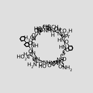 CC(C)C1NC(=O)[C@H](Cc2ccccc2)NC(=O)CSC[C@@H](C(=O)NCC(N)=O)NC(=O)[C@@H]2CCCN2C(=O)[C@H](CO)NC(=O)[C@H](CC(N)=O)NC(=O)[C@H](CCC(=O)O)N(C)C(=O)[C@H](Cc2ccc(-c3ccccc3)cc2)NC(=O)CN(C)C(=O)[C@H](CO)NC(=O)[C@H]([C@@H](C)O)NC(=O)[C@H]([C@@H](C)O)NC(=O)[C@H](CC(=O)O)NC1=O